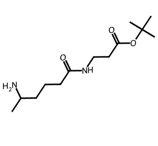 CC(N)CCCC(=O)NCCC(=O)OC(C)(C)C